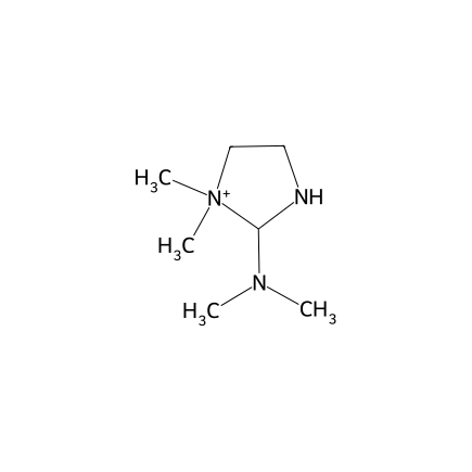 CN(C)C1NCC[N+]1(C)C